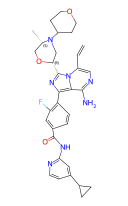 C=Cc1cnc(N)c2c(-c3ccc(C(=O)Nc4cc(C5CC5)ccn4)cc3F)nc([C@H]3CN(C4CCOCC4)[C@@H](C)CO3)n12